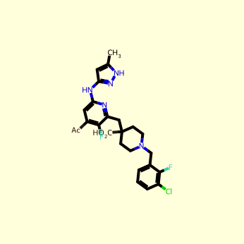 CC(=O)c1cc(Nc2cc(C)[nH]n2)nc(CC2(C(=O)O)CCN(Cc3cccc(Cl)c3F)CC2)c1F